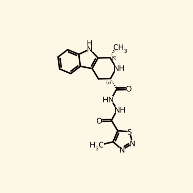 Cc1nnsc1C(=O)NNC(=O)[C@@H]1Cc2c([nH]c3ccccc23)[C@H](C)N1